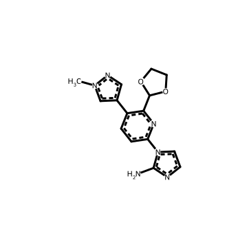 Cn1cc(-c2ccc(-n3ccnc3N)nc2C2OCCO2)cn1